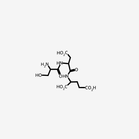 NC(CO)C(=O)NC(CC(=O)O)C(=O)NC(CCC(=O)O)C(=O)O